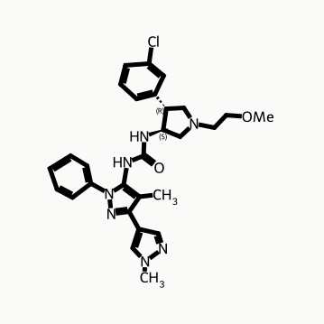 COCCN1C[C@@H](NC(=O)Nc2c(C)c(-c3cnn(C)c3)nn2-c2ccccc2)[C@H](c2cccc(Cl)c2)C1